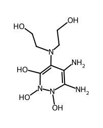 NC1=C(N)N(O)N(O)C(O)=C1N(CCO)CCO